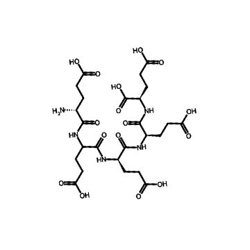 N[C@H](CCC(=O)O)C(=O)NC(CCC(=O)O)C(=O)N[C@H](CCC(=O)O)C(=O)N[C@H](CCC(=O)O)C(=O)N[C@H](CCC(=O)O)C(=O)O